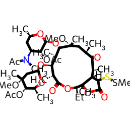 CC[C@H]1OC(=O)[C@H](C)[C@@H](O[C@H]2C[C@@](C)(OC)[C@@H](OC(C)=O)[C@H](C)O2)[C@H](C)[C@@H](O[C@@H]2O[C@H](C)C[C@H](N(C)C(C)=O)[C@H]2OC(C)=O)[C@](C)(OC)C[C@@H](C)C(=O)[C@H](C)[C@H]2C(SSC)C(=O)O[C@@]21C